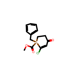 COC(=O)S1(Cc2ccccc2)CCC(=O)C=C1Cl